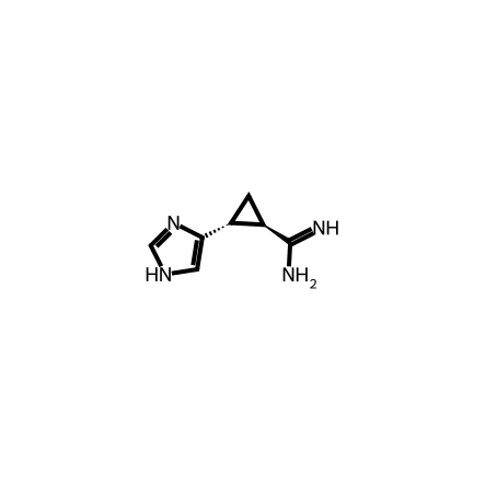 N=C(N)[C@@H]1C[C@H]1c1c[nH]cn1